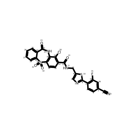 N#Cc1ccc(-c2ncc(CNC(=O)c3ccc4c(c3Cl)NC(=O)c3ccccc3S4(=O)=O)s2)c(F)c1